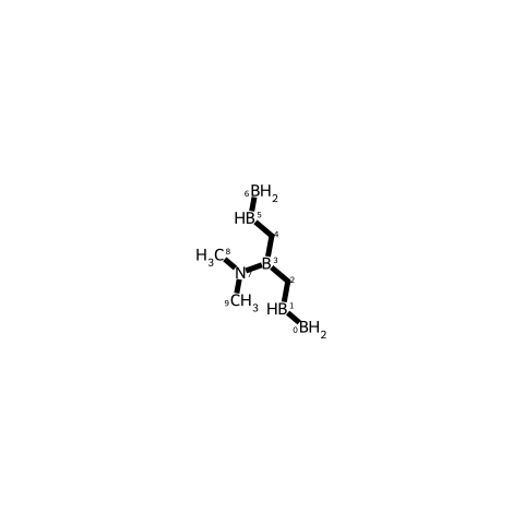 BBCB(CBB)N(C)C